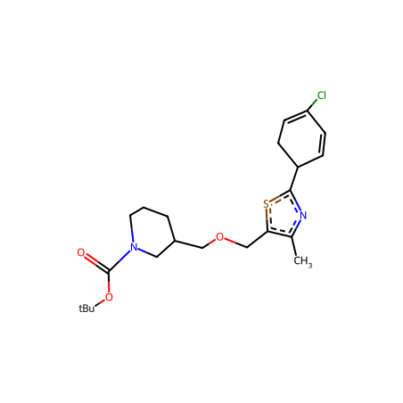 Cc1nc(C2C=CC(Cl)=CC2)sc1COCC1CCCN(C(=O)OC(C)(C)C)C1